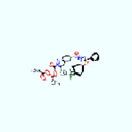 CC(OC(=O)NC(CC1CC=CC([S+]([O-])N2CC(Oc3ccc(F)cc3)(c3ccccc3)C2)C1)C(=O)O)OC(=O)C(C)(C)C